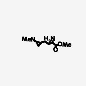 CNC1CC1CCC(N)C(=O)OC